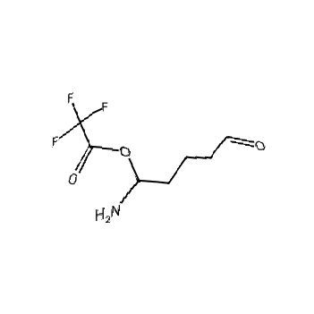 NC(CCCC=O)OC(=O)C(F)(F)F